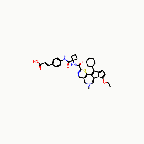 CCOC1=CC=C2C(C3CCCCC3)=C3C(=CN(C)CC4=C3SC(C(=O)NC3(C(=O)Nc5ccc(/C=C/C(=O)O)cc5)CCC3)=NC4)C12